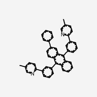 Cc1ccc(-c2cccc(-c3c4ccccc4c(-c4cccc(-c5ccc(C)cn5)c4)c4cc(-c5ccccc5)ccc34)c2)nc1